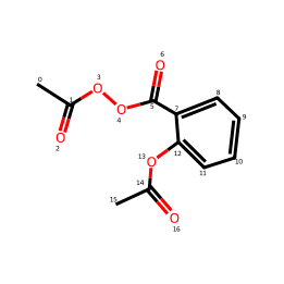 CC(=O)OOC(=O)c1ccccc1OC(C)=O